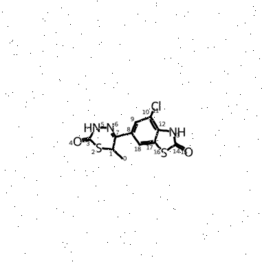 CC1SC(=O)NN=C1c1cc(Cl)c2[nH]c(=O)sc2c1